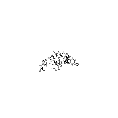 COc1ccc(S(=O)(=O)N(CC(C)C)C[C@H](O)[C@H](Cc2ccccc2)NC(=O)[C@H](C(C)C)N2CCN(Cc3csc(CN(C)C)n3)C2=O)cc1